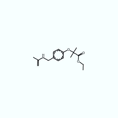 C=C(C)NCc1ccc(OC(C)(C)C(=O)OCC)cc1